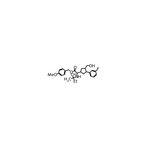 CCC(C)(C)NC(C(=O)OCc1ccc(OC)cc1)C1CC(CO)C(c2cccc(F)c2)C1